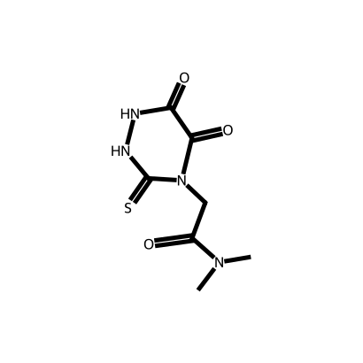 CN(C)C(=O)Cn1c(=S)[nH][nH]c(=O)c1=O